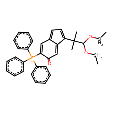 C[SiH2]OC(O[SiH2]C)C(C)(C)C1=CC=C2C=C([PH](c3ccccc3)(c3ccccc3)c3ccccc3)C(=O)C=C21